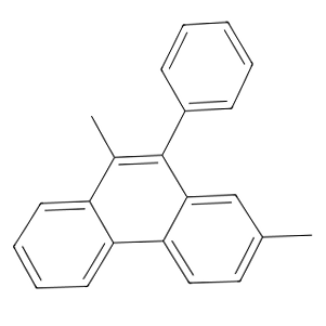 Cc1ccc2c(c1)c(-c1ccccc1)c(C)c1ccccc12